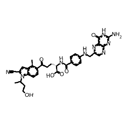 Cc1c(C(=O)CC[C@H](NC(=O)c2ccc(NCc3cnc4nc(N)[nH]c(=O)c4n3)cc2)C(=O)O)ccc2c1cc(C#N)n2C(C)CCO